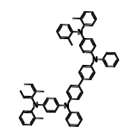 C/C=C(C)\C(=C/C)N(c1ccc(N(c2ccccc2)c2ccc(-c3ccc(N(c4ccccc4)c4ccc(N(c5ccccc5C)c5ccccc5C)cc4)cc3)cc2)cc1)c1ccccc1C